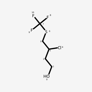 OCCC(Cl)CSC(F)(F)F